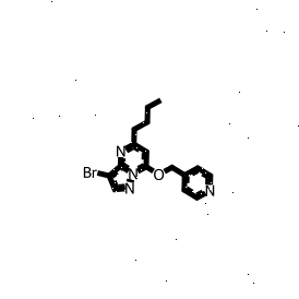 CCCCc1cc(OCc2ccncc2)n2ncc(Br)c2n1